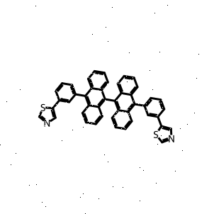 c1cc(-c2cncs2)cc(-c2c3ccccc3c(-c3c4ccccc4c(-c4cccc(-c5cncs5)c4)c4ccccc34)c3ccccc23)c1